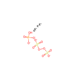 O=P([O-])([O-])O.O=S(=O)([O-])OOS(=O)(=O)[O-].[K+].[K+].[K+].[K+]